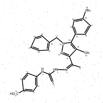 C/C(=N/NC(=S)Nc1ccc(C(=O)O)cc1)c1nn(Cc2ccccc2)c(-c2ccc(C(C)(C)C)cc2)c1O